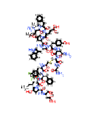 CCCC[C@@H](C(=O)N1C[C@H](O)C[C@@H]1C(=O)N[C@H](C=O)CC(=O)O)N(C)C(=O)[C@H](Cc1ccccc1)N(C)C(=O)[C@H](Cc1cc(F)c(F)c(F)c1)NC(=O)CSC[C@H](NC(=O)[C@H](CC(N)=O)NC(=O)[C@H](Cc1ccc(O)cc1)NC(=O)[C@H](Cc1c[nH]c2ccccc12)NC(=O)[C@H]1C[C@@H](O)CN1C(=O)[C@H](CCC(=O)O)NC(=O)C(Cc1ccccc1)N(C)C(=O)[C@@H](N)C(C)C)C(=O)NCC(N)=O